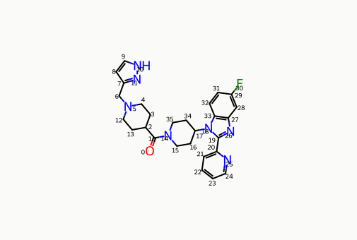 O=C(C1CCN(Cc2cc[nH]n2)CC1)N1CCC(n2c(-c3ccccn3)nc3cc(F)ccc32)CC1